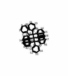 c1ccc([C](c2ccccc2)C(c2ccccc2)(c2ccccc2)C(c2ccccc2)(c2ccccc2)C(c2ccccc2)(c2ccccc2)c2ccccc2)cc1